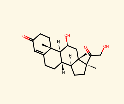 C[C@]12CCC(=O)C=C1CC[C@@H]1[C@@H]2[C@@H](O)C[C@@]2(C)[C@H]1CC[C@]2(C)C(=O)CO